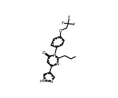 CCCc1nc(-c2cn[nH]c2)cc(=O)n1-c1ccc(OCC(F)(F)F)cc1